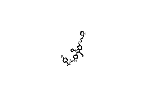 CC(OC(=O)Nc1ccc(-c2c(C#N)c3ccc(OCCCn4cccn4)cc3n2C2CCC2)cc1)c1ccc(F)cc1